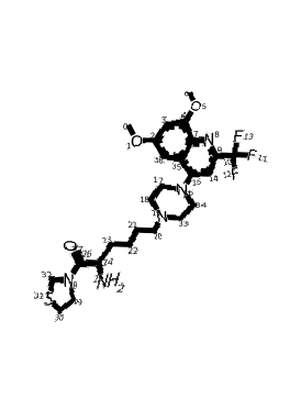 COc1cc(OC)c2nc(C(F)(F)F)cc(N3CCN(CCCCC(N)C(=O)N4CCSC4)CC3)c2c1